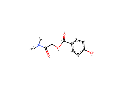 CCCN(CCC)C(=O)COC(=O)c1ccc(O)cc1